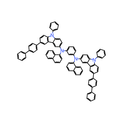 c1ccc(-c2ccc(-c3ccc4c(c3)c3cc(N(c5cccc(N(c6ccc7c(c6)c6cc(-c8ccc(-c9ccccc9)cc8)ccc6n7-c6ccccc6)c6cccc7ccccc67)c5)c5cccc6ccccc56)ccc3n4-c3ccccc3)cc2)cc1